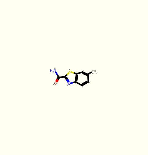 Cc1ccc2nc(C(N)=O)sc2c1